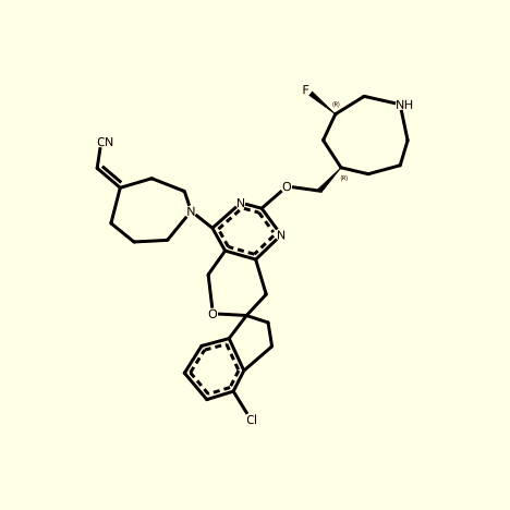 N#CC=C1CCCN(c2nc(OC[C@@H]3CCCNC[C@H](F)C3)nc3c2COC2(CCc4c(Cl)cccc42)C3)CC1